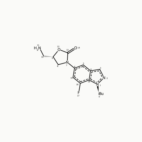 CC[C@H](C)n1ncc2cc(N3C[C@H](CN)OC3=O)cc(F)c21